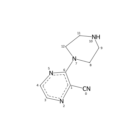 N#Cc1nccnc1N1CCNCC1